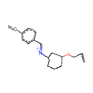 C=CCOC1CCCC(/N=C/c2ccc(OC)cc2)C1